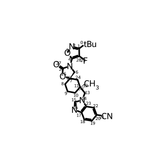 CC(C)(C)c1noc(N2C[C@@]3(CCC[C@](C)(Cn4cnc5ccc(C#N)cc54)C3)OC2=O)c1F